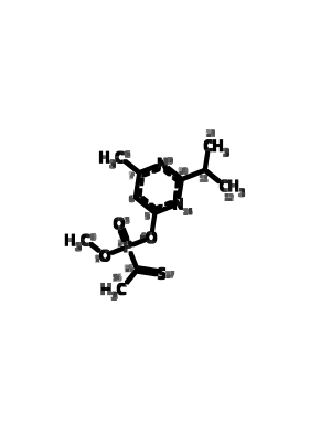 COP(=O)(Oc1cc(C)nc(C(C)C)n1)C(C)=S